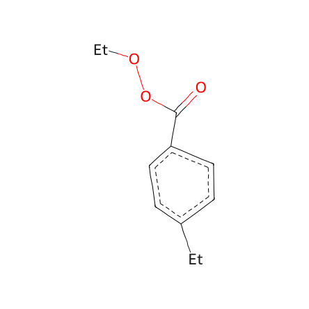 [CH2]COOC(=O)c1ccc(CC)cc1